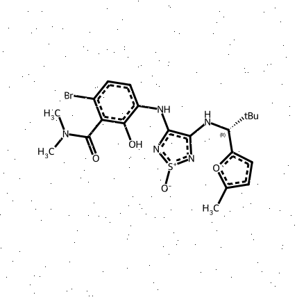 Cc1ccc([C@H](Nc2n[s+]([O-])nc2Nc2ccc(Br)c(C(=O)N(C)C)c2O)C(C)(C)C)o1